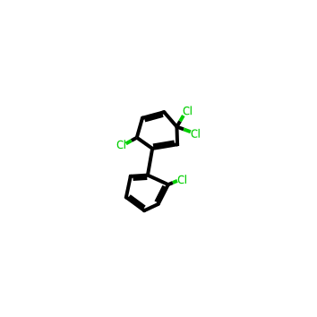 Clc1ccccc1C1=CC(Cl)(Cl)C=CC1Cl